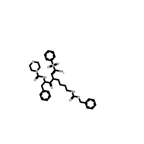 NC(=CC(CCCCNC(=O)OCc1ccccc1)C(=O)C(Cc1ccccc1)NC(=O)N1CCOCC1)S(=O)(=O)c1ccccc1